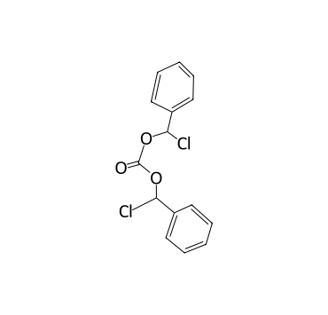 O=C(OC(Cl)c1ccccc1)OC(Cl)c1ccccc1